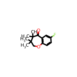 CC1(C)COc2ccc(F)cc2C(=O)C1(C)C